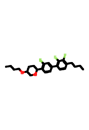 CCCCOC1CCC(c2ccc(-c3ccc(CCCC)c(F)c3F)cc2F)OC1